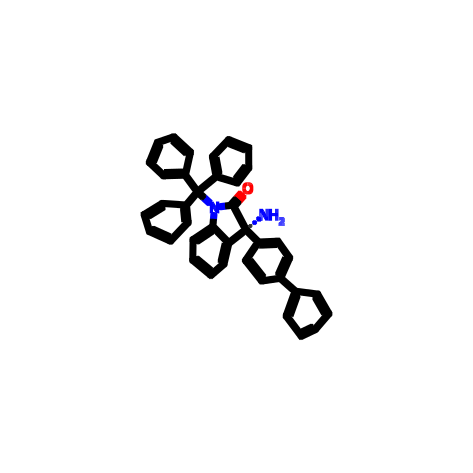 N[C@@]1(c2ccc(-c3ccccc3)cc2)C(=O)N(C(c2ccccc2)(c2ccccc2)c2ccccc2)c2ccccc21